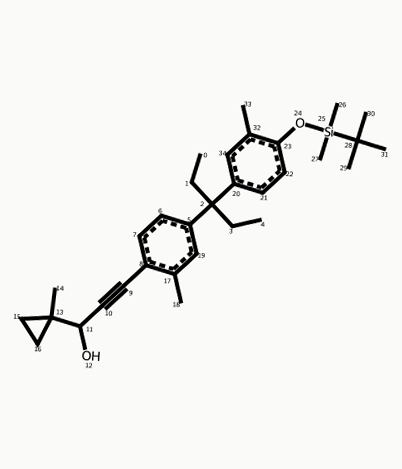 CCC(CC)(c1ccc(C#CC(O)C2(C)CC2)c(C)c1)c1ccc(O[Si](C)(C)C(C)(C)C)c(C)c1